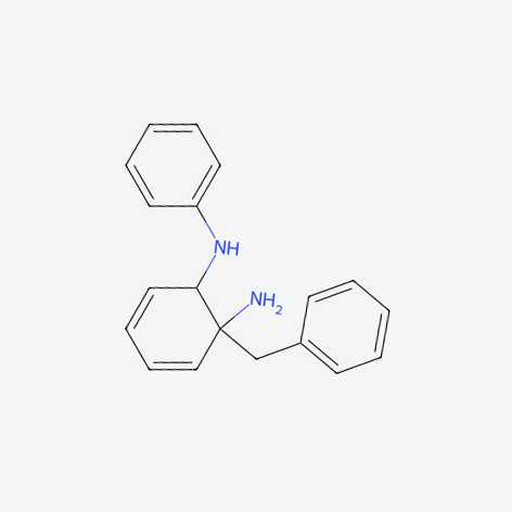 NC1(Cc2ccccc2)C=CC=CC1Nc1ccccc1